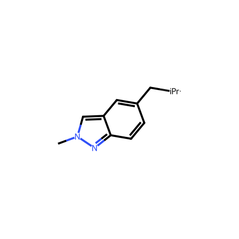 C[C](C)Cc1ccc2nn(C)cc2c1